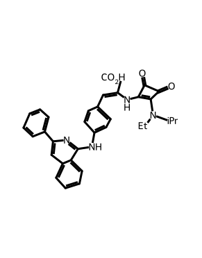 CCN(c1c(NC(=Cc2ccc(Nc3nc(-c4ccccc4)cc4ccccc34)cc2)C(=O)O)c(=O)c1=O)C(C)C